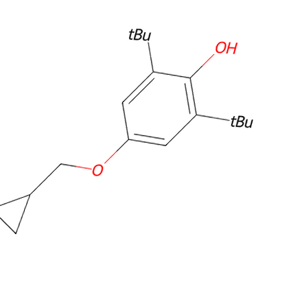 CC(C)(C)c1cc(OCC2CC2)cc(C(C)(C)C)c1O